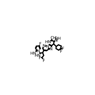 CC(=N)/C(=N\O)C(c1cn2ncc(C(CC(F)F)C(=N)n3cc(F)ccc3=N)cc2n1)C1CCC(F)(F)CC1